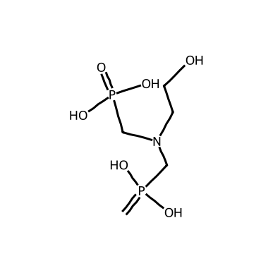 C=P(O)(O)CN(CCO)CP(=O)(O)O